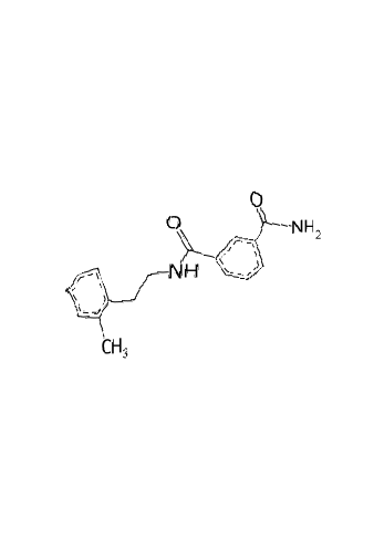 Cc1ccccc1CCNC(=O)c1cccc(C(N)=O)c1